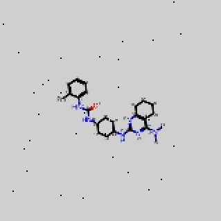 CC(C)c1ccccc1NC(=O)NC1CCC(Nc2nc3c(c(N(C)C)n2)CCCC3)CC1